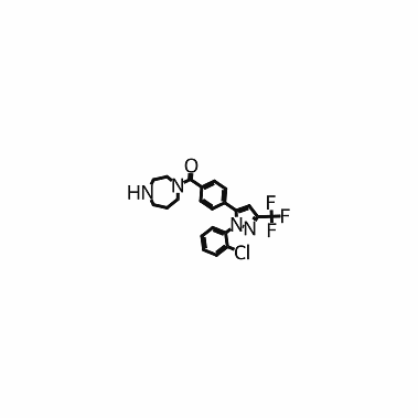 O=C(c1ccc(-c2cc(C(F)(F)F)nn2-c2ccccc2Cl)cc1)N1CCCNCC1